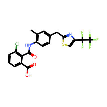 Cc1cc(Cc2nc(C(F)(F)C(F)(F)F)cs2)ccc1NC(=O)c1c(Cl)cccc1C(=O)O